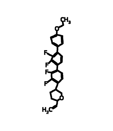 C=CC1CCC(c2ccc(-c3ccc(-c4ccc(OCC)cc4)c(F)c3F)c(F)c2F)CO1